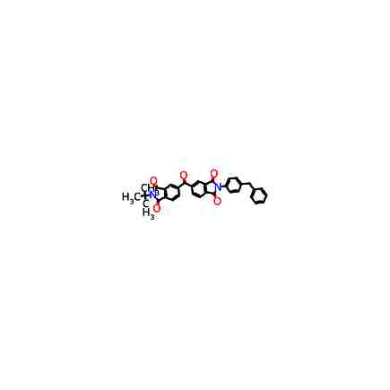 CC(C)(C)N1C(=O)c2ccc(C(=O)c3ccc4c(c3)C(=O)N(c3ccc(Cc5ccccc5)cc3)C4=O)cc2C1=O